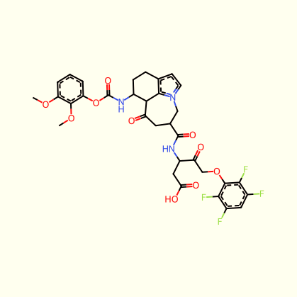 COc1cccc(OC(=O)NC2CCc3ccn4c3C2C(=O)CC(C(=O)NC(CC(=O)O)C(=O)COc2c(F)c(F)cc(F)c2F)C4)c1OC